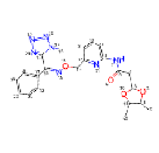 CC1OC(CC(=O)Nc2cccc(CO/N=C(/c3ccccc3)c3nnnn3C)n2)OC1C